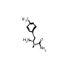 CN(C(N)=O)[C@@H](N)Cc1ccc(C(F)(F)F)cc1